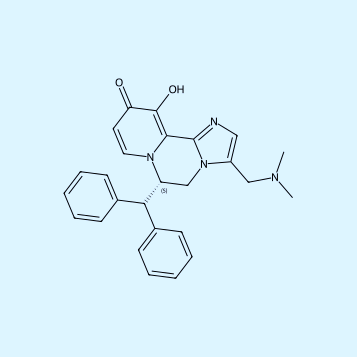 CN(C)Cc1cnc2n1C[C@H](C(c1ccccc1)c1ccccc1)n1ccc(=O)c(O)c1-2